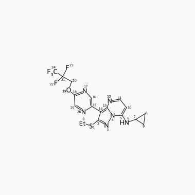 CCSc1nn2c(NC3CC3)ccnc2c1-c1cnc(OCC(F)(F)C(F)(F)F)cn1